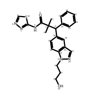 CC(C)(C(=O)Nc1nncs1)C(c1ccccc1)c1ccc2c(cnn2CCCO)c1